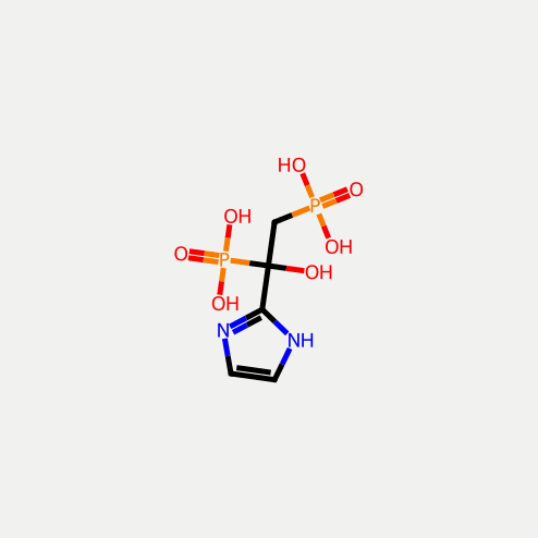 O=P(O)(O)CC(O)(c1ncc[nH]1)P(=O)(O)O